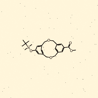 COC(=O)c1cc2cc(c1)COCc1cc(cc(O[Si](C)(C)C(C)(C)C)c1)COC2